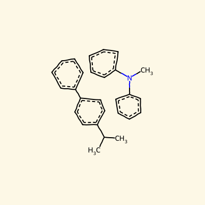 CC(C)c1ccc(-c2ccccc2)cc1.CN(c1ccccc1)c1ccccc1